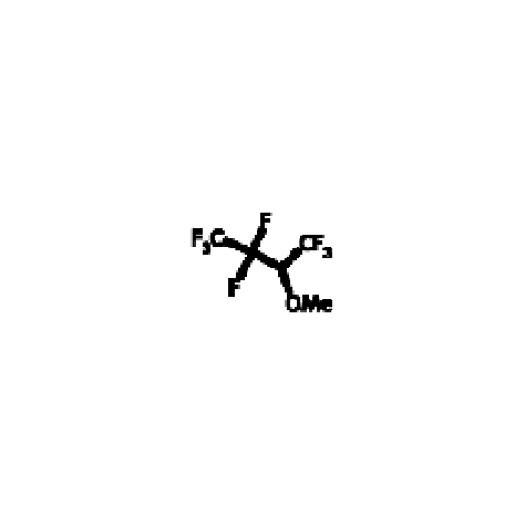 COC(C(F)(F)F)C(F)(F)C(F)(F)F